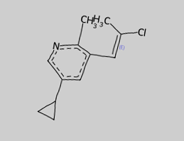 C/C(Cl)=C\c1cc(C2CC2)cnc1C